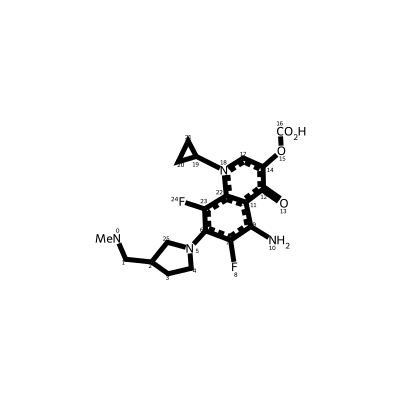 CNCC1CCN(c2c(F)c(N)c3c(=O)c(OC(=O)O)cn(C4CC4)c3c2F)C1